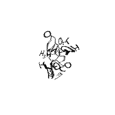 CC(=O)[C@@]1(O)CC[C@H]2[C@@H]3[C@H](O)[C@@H](O)C4=CC(=O)C=C[C@]4(C)[C@H]3CC[C@@]21C